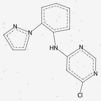 Clc1cc(Nc2ccccc2-n2cccn2)ncn1